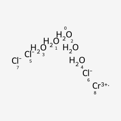 O.O.O.O.O.[Cl-].[Cl-].[Cl-].[Cr+3]